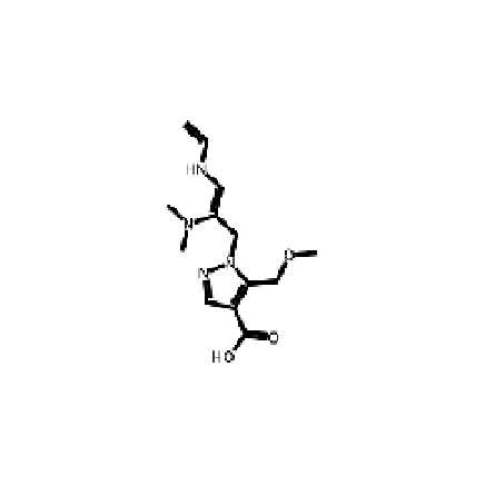 C=CN/C=C(/Cn1ncc(C(=O)O)c1COC)N(C)C